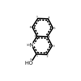 Oc1[c]cc2ccccc2n1